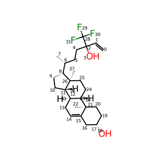 C=CC(O)(CC[C@@H](C)[C@H]1CC[C@H]2[C@@H]3CC=C4C[C@@H](O)CC[C@]4(C)[C@H]3CC[C@]12C)C(F)(F)F